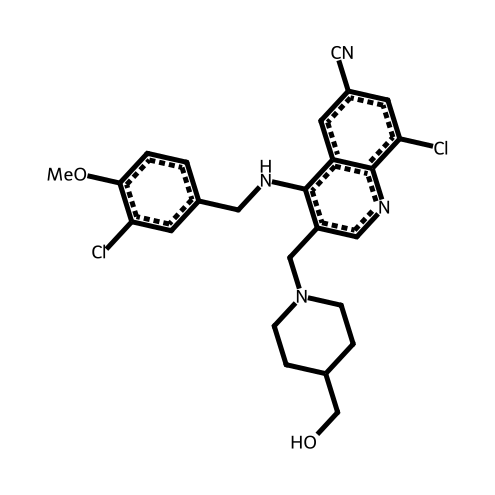 COc1ccc(CNc2c(CN3CCC(CO)CC3)cnc3c(Cl)cc(C#N)cc23)cc1Cl